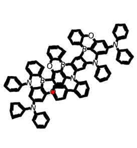 c1ccc(-c2ccccc2N2c3cc4c(cc3B3c5ccccc5Oc5c6c(cc2c53)Oc2cc(N(c3ccccc3)c3ccccc3)cc3c2B6c2ccccc2N3c2ccccc2)B2c3ccccc3Oc3cc(N(c5ccccc5)c5ccccc5)cc(c32)N4c2ccccc2)cc1